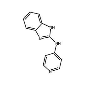 c1ccc2[nH]c(Nc3ccncc3)nc2c1